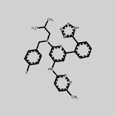 Cc1ccc(Nc2cc(-c3ccccc3-c3nnn[nH]3)nc(N(Cc3ccc(F)cc3)CC(C)C)c2)nn1